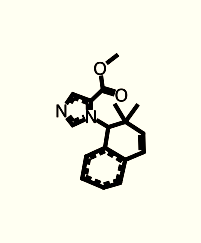 COC(=O)c1cncn1C1c2ccccc2C=CC1(C)C